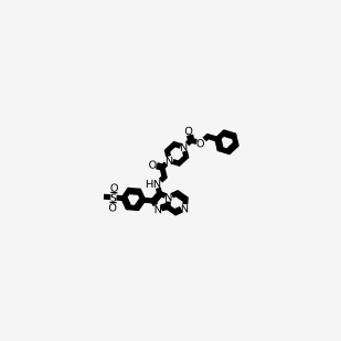 CS(=O)(=O)c1ccc(-c2nc3cnccn3c2NCC(=O)N2CCN(C(=O)OCc3ccccc3)CC2)cc1